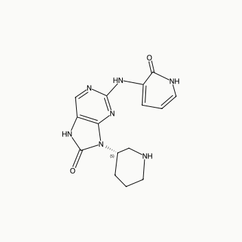 O=c1[nH]cccc1Nc1ncc2[nH]c(=O)n([C@H]3CCCNC3)c2n1